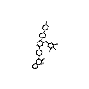 Cc1c(Br)cc(CC(CC(=O)N2CCC(N3Cc4ccccc4NC3=O)CC2)C(=O)N2CCC(N3CCN(C)CC3)CC2)cc1Br